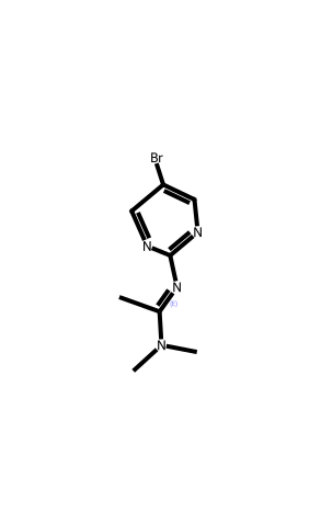 C/C(=N\c1ncc(Br)cn1)N(C)C